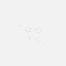 CCC(C)Oc1cc2c(cc1OC)CC(=O)N(c1ccc(OC)cc1)C2c1ccc(Cl)cc1